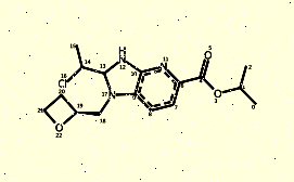 CC(C)OC(=O)c1ccc2c(n1)NC(C(C)Cl)N2C[C@@H]1CCO1